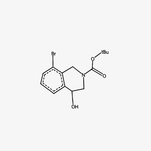 CC(C)(C)OC(=O)N1Cc2c(Br)cccc2C(O)C1